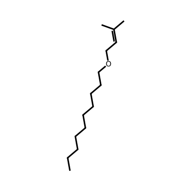 CCCCCCCCCCOCC=C(C)C